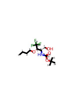 CCCCO[C@@H]([C@H](CO)NC(=O)OC(C)(C)C)C(F)(F)F